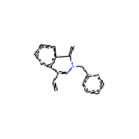 C=CC1=CN(Cc2ccccc2)C(=C)c2ccccc21